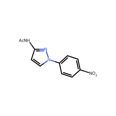 CC(=O)Nc1ccn(-c2ccc([N+](=O)[O-])cc2)n1